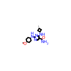 CO[C@H]1CC[C@H](Nc2ncc(C(N)=O)c(N[C@H]3C[C@@H](C)C3)n2)CC1